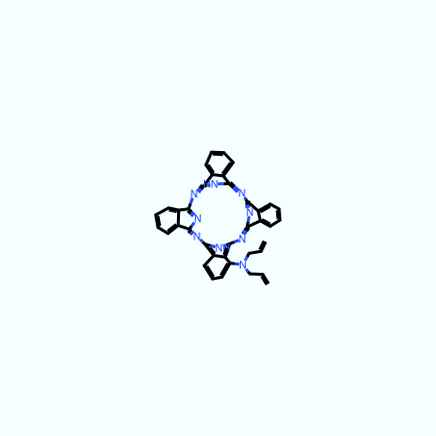 C=CCN(CC=C)c1cccc2c3nc4nc(nc5[nH]c(nc6nc(nc([nH]3)c12)-c1ccccc1-6)c1ccccc51)-c1ccccc1-4